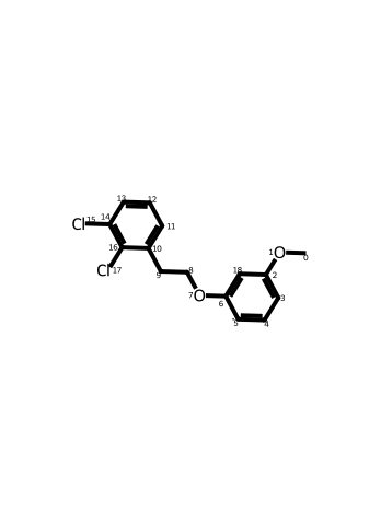 COc1cc[c]c(OCCc2cccc(Cl)c2Cl)c1